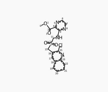 COC(=O)c1nccnc1NCS(=O)(=O)Cc1cc2ccccc2nc1Cl